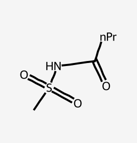 [CH2]CCC(=O)NS(C)(=O)=O